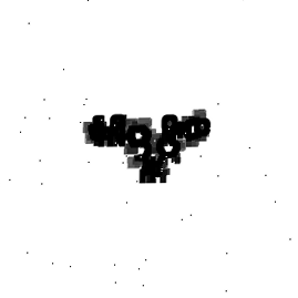 CCCN(CC1CCN(C(=O)N2CCOCC2)CC1)C(C)Cc1cccc(NC(=O)c2cccs2)c1